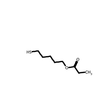 CCC(=O)OCCCCCS